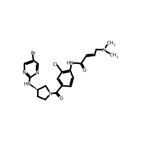 CN(C)C/C=C/C(=O)Nc1ccc(C(=O)N2CC[C@@H](Nc3ncc(Br)cn3)C2)cc1Cl